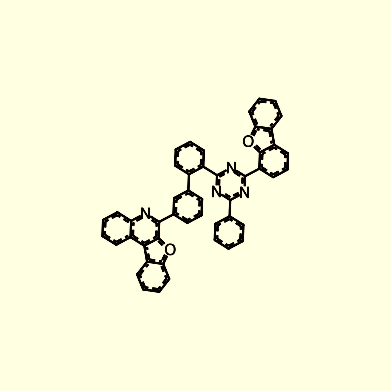 c1ccc(-c2nc(-c3ccccc3-c3cccc(-c4nc5ccccc5c5c4oc4ccccc45)c3)nc(-c3cccc4c3oc3ccccc34)n2)cc1